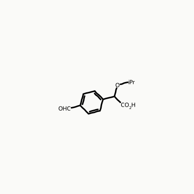 CC(C)OC(C(=O)O)c1ccc(C=O)cc1